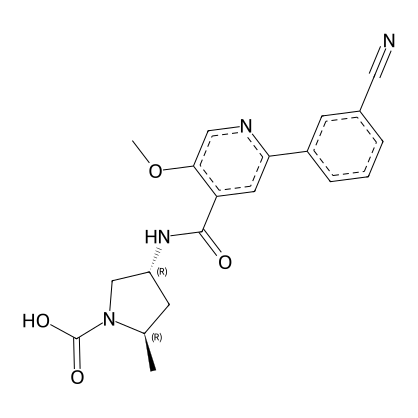 COc1cnc(-c2cccc(C#N)c2)cc1C(=O)N[C@@H]1C[C@@H](C)N(C(=O)O)C1